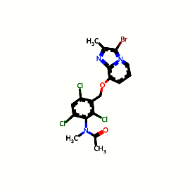 CC(=O)N(C)c1c(Cl)cc(Cl)c(COc2cccn3c(Br)c(C)nc23)c1Cl